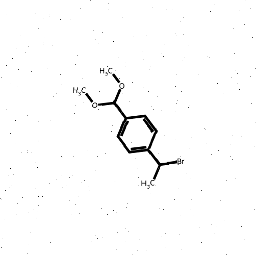 COC(OC)c1ccc(C(C)Br)cc1